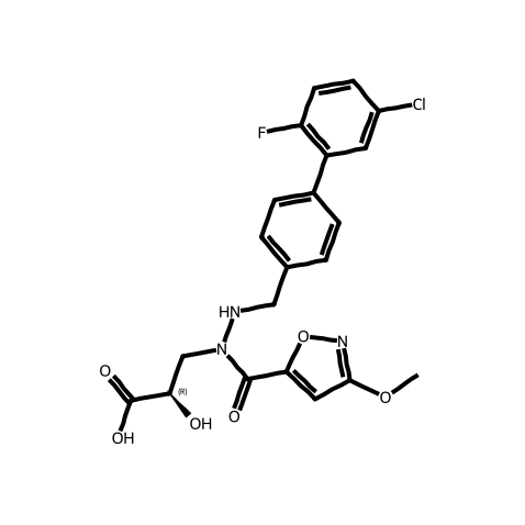 COc1cc(C(=O)N(C[C@@H](O)C(=O)O)NCc2ccc(-c3cc(Cl)ccc3F)cc2)on1